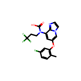 Cc1ccc(F)cc1Oc1cc(N(CCC(F)(F)F)C(=O)O)c2nccn2c1